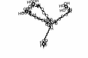 N=N/C(=C\NCCOCCOCCOCCNC(=O)CCC(CCC(=O)NCCOCCOCCOCCn1cc(C[C@H]2C[C@@H](O)[C@@H](O)[C@@H](CO)O2)nn1)(CCC(=O)NCCOCCOCCOCCn1cc(C[C@H]2C[C@@H](O)[C@@H](O)[C@@H](CO)O2)nn1)NC(=O)CCCCCCCCCCC(=O)Oc1c(F)c(F)c(F)c(F)c1F)C[C@H]1C[C@@H](O)[C@@H](O)[C@@H](CO)O1